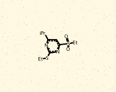 CCSc1nc(C(C)C)cc(S(=O)(=O)CC)n1